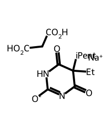 CCCC(C)C1(CC)C(=O)N=C([O-])NC1=O.O=C(O)CC(=O)O.[Na+]